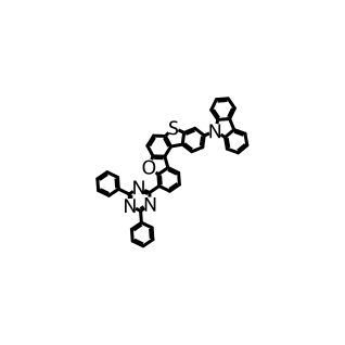 c1ccc(-c2nc(-c3ccccc3)nc(-c3cccc4c3oc3ccc5sc6cc(-n7c8ccccc8c8ccccc87)ccc6c5c34)n2)cc1